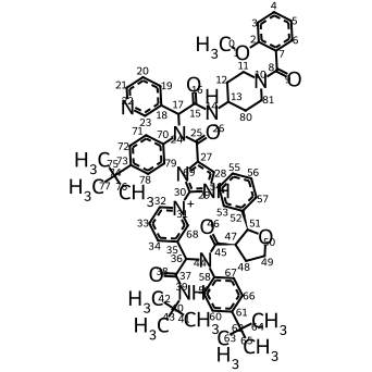 COc1ccccc1C(=O)N1CCC(NC(=O)C(c2cccnc2)N(C(=O)c2c[nH]c(-[n+]3cccc(C(C(=O)NC(C)(C)C)N(C(=O)[C@@H]4CCO[C@@H]4c4ccccc4)c4ccc(C(C)(C)C)cc4)c3)n2)c2ccc(C(C)(C)C)cc2)CC1